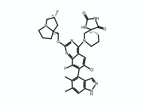 Cc1cc2[nH]ncc2c(-c2c(Cl)cc3c(N4CCC[C@]5(C4)NC(=O)NC5=O)nc(OC[C@@]45CCCN4C[C@H](F)C5)nc3c2F)c1C